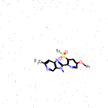 CCS(=O)(=O)c1cc(OC(C)C)cnc1-c1nc2cc(C(F)(F)F)ncc2n1C